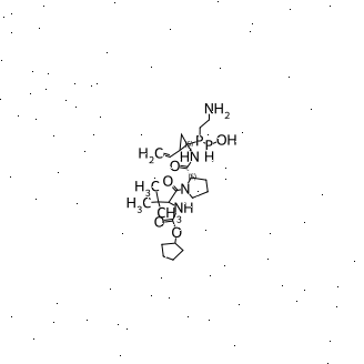 C=CC1C[C@]1(NC(=O)[C@@H]1CCCN1C(=O)C(NC(=O)OC1CCCC1)C(C)(C)C)P(CCN)PO